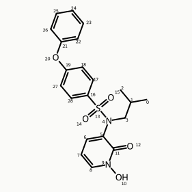 CC(C)CN(c1cccn(O)c1=O)S(=O)(=O)c1ccc(Oc2ccccc2)cc1